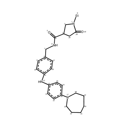 CCN1CC(C(=O)NCc2ccc(Nc3ccc(N4CCCCCC4)cc3)cc2)CC1=O